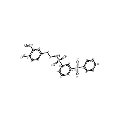 COc1cc(CCNS(=O)(=O)c2cccc(S(=O)(=O)c3ccccc3)c2)ccc1Br